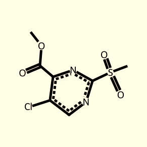 COC(=O)c1nc(S(C)(=O)=O)ncc1Cl